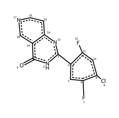 O=c1[nH]c(-c2cc(F)c(Cl)cc2F)nc2ccncc12